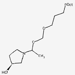 CCCCCCCCCCCOCOC(C)N1CC[C@H](O)C1